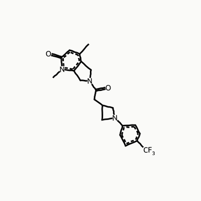 Cc1cc(=O)n(C)c2c1CN(C(=O)CC1CN(c3ccc(C(F)(F)F)cc3)C1)C2